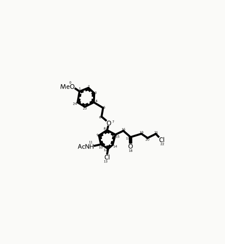 COc1ccc(CCOc2cc(NC(C)=O)c(Cl)cc2CC(=O)CCCCl)cc1